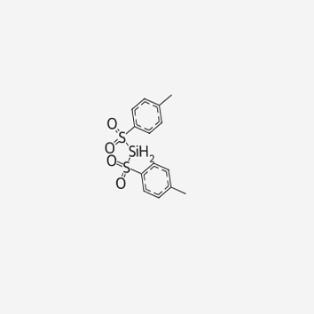 Cc1ccc(S(=O)(=O)[SiH2]S(=O)(=O)c2ccc(C)cc2)cc1